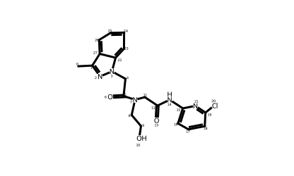 Cc1nn(CC(=O)N(CCO)CC(=O)Nc2cccc(Cl)n2)c2ccccc12